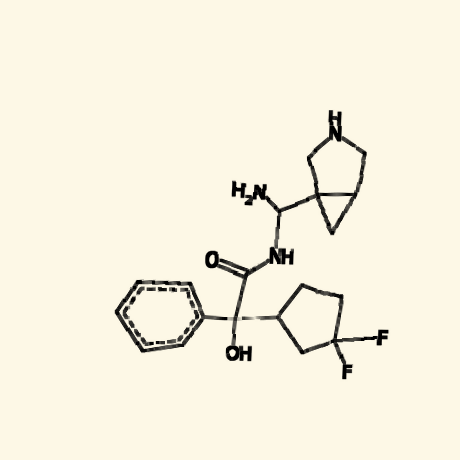 NC(NC(=O)C(O)(c1ccccc1)C1CCC(F)(F)C1)C12CNCC1C2